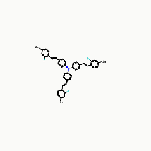 CC(C)(C)c1ccc(/C=C/c2ccc(N(c3ccc(/C=C/c4ccc(C(C)(C)C)cc4F)cc3)c3ccc(/C=C/c4ccc(C(C)(C)C)cc4F)cc3)cc2)c(F)c1